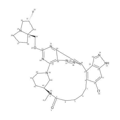 CN1C(=O)CCCCc2c(Cl)cc3[nH]ncc3c2-c2cc3nc(OC[C@@]45CCCN4C[C@H](F)C5)nc(c3nn2)N2CCC[C@@H]1C2